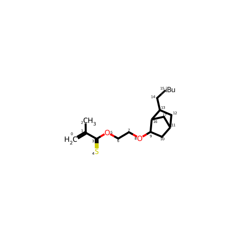 C=C(C)C(=S)OCCOC1CC2CC(CC(C)CC)C1C2